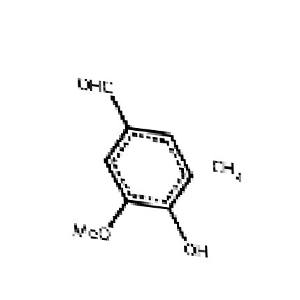 C.COc1cc(C=O)ccc1O